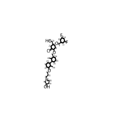 Cc1c(COc2cc(OCc3cc(F)cc(F)c3)c(CO)cc2Cl)cccc1-c1cccc(OCCCN2CCC(O)C2)c1C